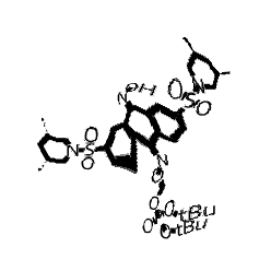 C[C@@H]1C[C@H](C)CN(S(=O)(=O)c2ccc3c(c2)C(=NO)c2cc(S(=O)(=O)N4C[C@H](C)C[C@H](C)C4)ccc2C3=NOCOP(=O)(OC(C)(C)C)OC(C)(C)C)C1